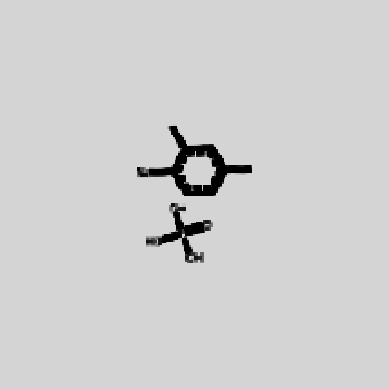 Cc1cc[c]([Na])c(C)c1.O=P(O)(O)O